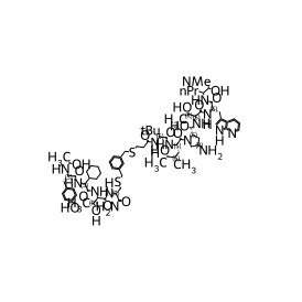 CCCC(NC(=O)[C@H](Cc1c[nH]c2ncccc12)NC(=O)[C@@H](NC(O)[C@@H]1C[C@@H](N)CN1C(=O)[C@H](C[C@H](C)C(C)O)NC(=O)[C@@H](NC(=O)CCSCc1cccc(CSC[C@H](NC(=O)C(NC(=O)[C@@H](NC(=O)[C@H](Cc2ccc(O)cc2)NC(C)O)C2CCCCC2)[C@@H](C)O)C(N)=O)c1)C(C)(C)C)[C@@H](C)O)C(O)NC